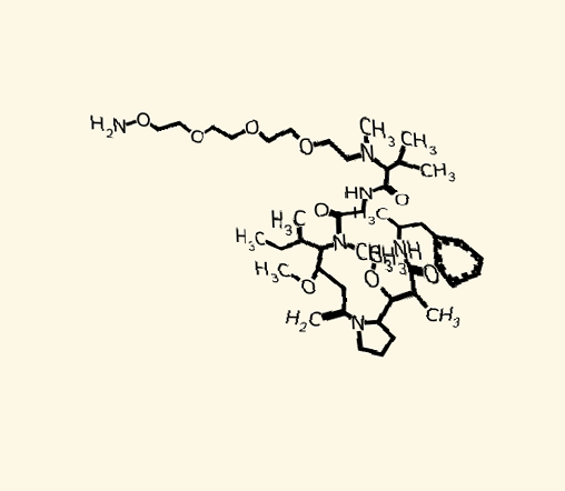 C=C(CC(OC)C(C(C)CC)N(C)C(=O)CNC(=O)C(C(C)C)N(C)CCOCCOCCOCCON)N1CCCC1C(OC)C(C)C(=O)NC(C)Cc1ccccc1